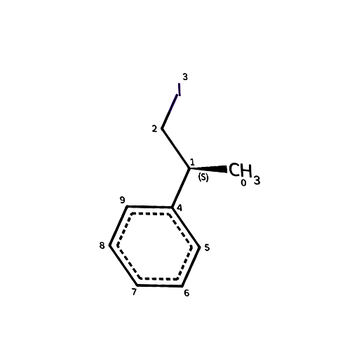 C[C@H](CI)c1ccccc1